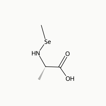 C[Se]N[C@@H](C)C(=O)O